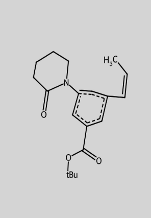 C/C=C\c1cc(C(=O)OC(C)(C)C)cc(N2CCCCC2=O)c1